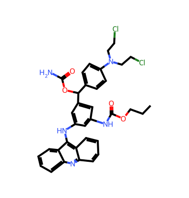 CCCOC(=O)Nc1cc(Nc2c3ccccc3nc3ccccc23)cc(C(OC(N)=O)c2ccc(N(CCCl)CCCl)cc2)c1